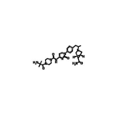 CC(Cc1ccc(-n2ccc(NC(=O)N3CCN(C(=O)C(C)(C)N)CC3)nc2=O)cc1)N1C[C@@H]2C(C(N)=O)[C@@H]2C1